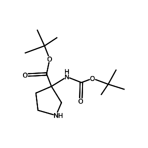 CC(C)(C)OC(=O)NC1(C(=O)OC(C)(C)C)CCNC1